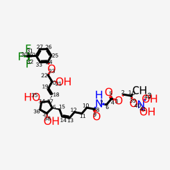 CC(COC(=O)CNC(=O)CCC/C=C\C[C@@H]1[C@@H](/C=C/[C@@H](O)COc2cccc(C(F)(F)F)c2)[C@H](O)C[C@@H]1O)ON(O)O